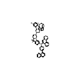 CC1(C)c2ccc(-c3ccc4c(c3)-c3cc(F)ccc3C43C(I)CC4CC5CC3C5C4)cc2-c2cc(N(c3ccc(-c4cccc5ccccc45)cc3)c3cc4ccccc4c4ccccc34)ccc21